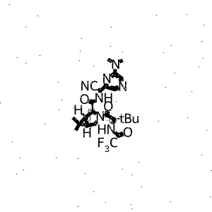 CN(C)c1cncc(C(C#N)NC(=O)[C@@H]2[C@@H]3[C@H](CN2C(=O)[C@@H](NC(=O)C(F)(F)F)C(C)(C)C)C3(C)C)n1